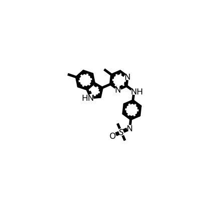 Cc1ccc2c(-c3nc(Nc4ccc(N=S(C)(C)=O)cc4)ncc3C)c[nH]c2c1